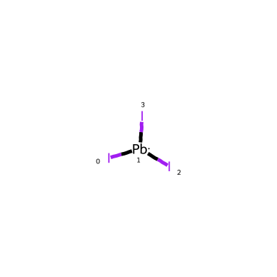 [I][Pb]([I])[I]